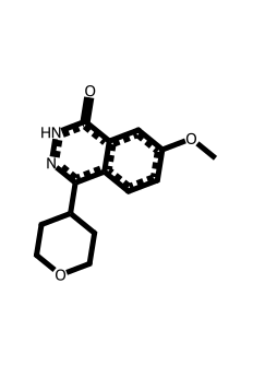 COc1ccc2c(C3CCOCC3)n[nH]c(=O)c2c1